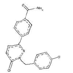 NC(=O)c1ccc(-c2ccc(=O)n(Cc3ccc(Cl)cc3)n2)cc1